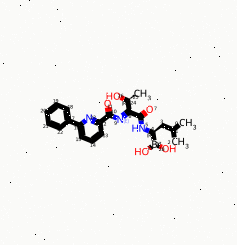 CC(C)C[C@H](NC(=O)/C(=N/C(=O)c1cccc(-c2ccccc2)n1)[C@@H](C)O)B(O)O